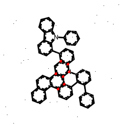 c1ccc(-c2ccccc2-c2c(-c3ccccc3)cccc2N(c2cccc(-c3cccc4c5ccccc5n(-c5ccccc5)c34)c2)c2ccc3c(ccc4ccccc43)c2)cc1